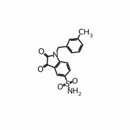 Cc1cccc(CN2C(=O)C(=O)c3cc(S(N)(=O)=O)ccc32)c1